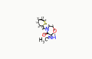 CNC1COCCN(CC2CCCCCS2)C1=O